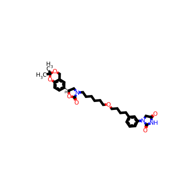 CC1(C)OCc2cc([C@@H]3CN(CCCCCCOCCCCc4cccc(N5CC(=O)NC5=O)c4)C(=O)O3)ccc2O1